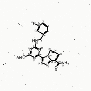 COc1nc(NCc2cccc(F)c2)nc(-c2nnc3c(C(N)=O)cccn23)n1